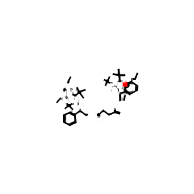 C=C(CCC(=O)OCC(ON(C(C(C)(C)C)P(=O)(OCC)OCC)C(C)(C)C)c1ccccc1)OCC(ON(C(C(C)(C)C)P(=O)(OCC)OCC)C(C)(C)C)c1ccccc1